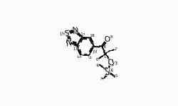 CC(C)(O[Si](C)(C)C)C(=O)c1ccc2nsnc2c1